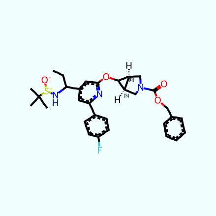 CCC(N[S+]([O-])C(C)(C)C)c1cc(OC2[C@H]3CN(C(=O)OCc4ccccc4)C[C@@H]23)nc(-c2ccc(F)cc2)c1